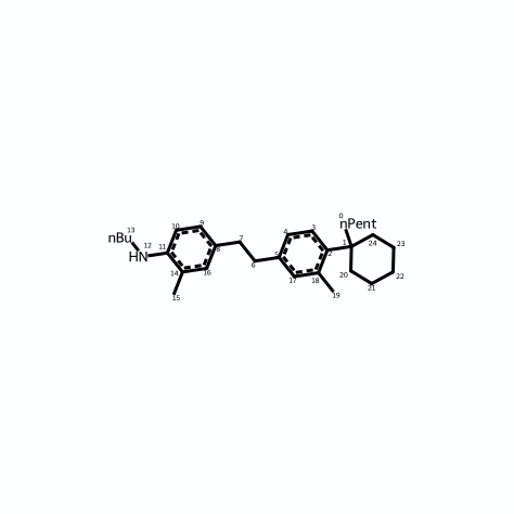 CCCCCC1(c2ccc(CCc3ccc(NCCCC)c(C)c3)cc2C)CCCCC1